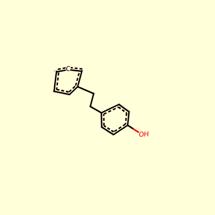 Oc1ccc(CCc2cc[c]cc2)cc1